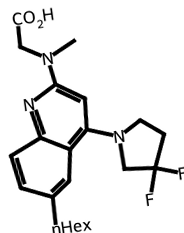 CCCCCCc1ccc2nc(N(C)CC(=O)O)cc(N3CCC(F)(F)C3)c2c1